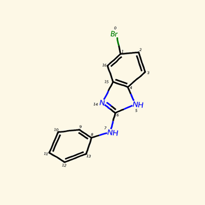 Brc1ccc2[nH]c(Nc3ccccc3)nc2c1